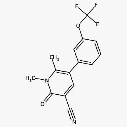 Cc1c(-c2cccc(OC(F)(F)F)c2)cc(C#N)c(=O)n1C